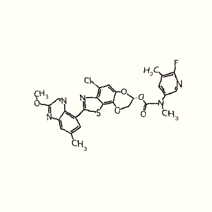 COc1cnc2c(-c3nc4c(Cl)cc5c(c4s3)OC[C@@H](OC(=O)N(C)c3cnc(F)c(C)c3)O5)cc(C)cc2n1